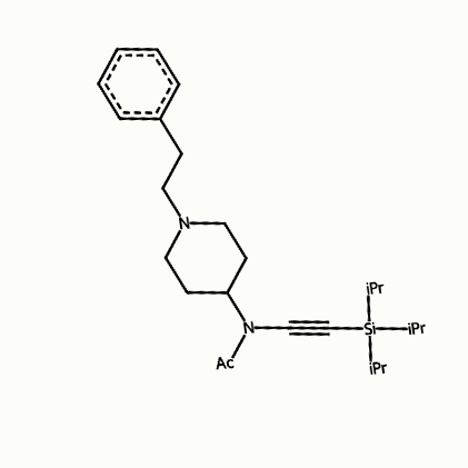 CC(=O)N(C#C[Si](C(C)C)(C(C)C)C(C)C)C1CCN(CCc2ccccc2)CC1